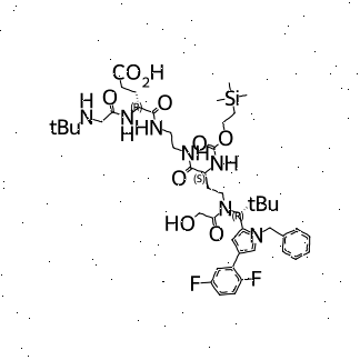 CC(C)(C)NCC(=O)N[C@H](CCC(=O)O)C(=O)NCCNC(=O)[C@H](CCN(C(=O)CO)[C@@H](c1cc(-c2cc(F)ccc2F)cn1Cc1ccccc1)C(C)(C)C)NC(=O)OCC[Si](C)(C)C